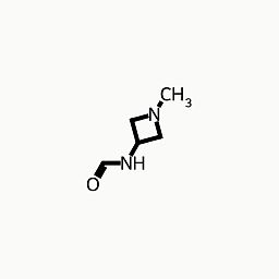 CN1CC(NC=O)C1